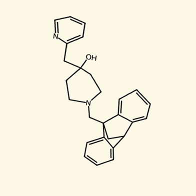 OC1(Cc2ccccn2)CCN(CC23CC(c4ccccc42)c2ccccc23)CC1